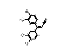 Cc1cc(C(=CC#N)c2ccc(O)c(C)c2)ccc1O